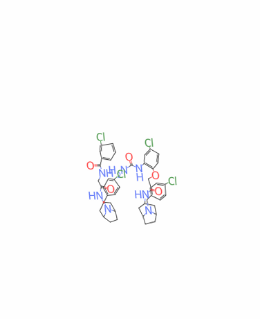 NC(=O)Nc1cc(Cl)ccc1OCC(=O)NC1CC2CCC(C1)N2Cc1ccc(Cl)cc1.O=C(CNC(=O)c1cccc(Cl)c1)NC1CC2CCC(C1)N2Cc1ccc(Cl)cc1